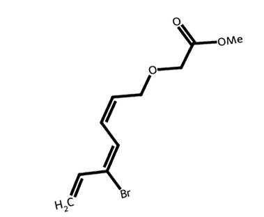 C=C/C(Br)=C\C=C/COCC(=O)OC